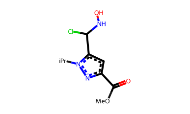 COC(=O)c1cc(C(Cl)NO)n(C(C)C)n1